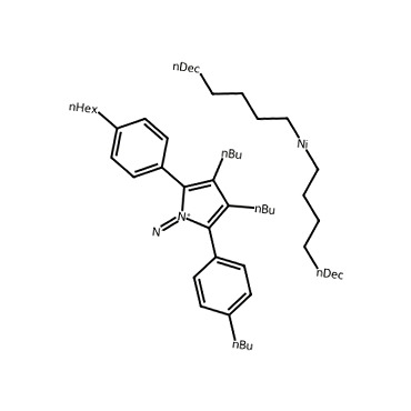 CCCCCCCCCCCCC[CH2][Ni][CH2]CCCCCCCCCCCCC.CCCCCCc1ccc(C2=C(CCCC)C(CCCC)=C(c3ccc(CCCC)cc3)[N+]2=[N-])cc1